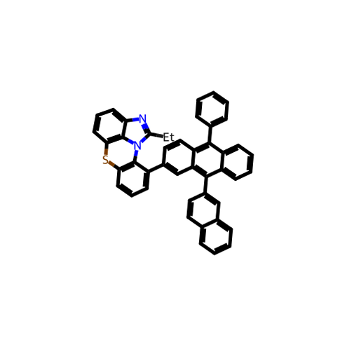 CCc1nc2cccc3c2n1-c1c(cccc1-c1ccc2c(-c4ccccc4)c4ccccc4c(-c4ccc5ccccc5c4)c2c1)S3